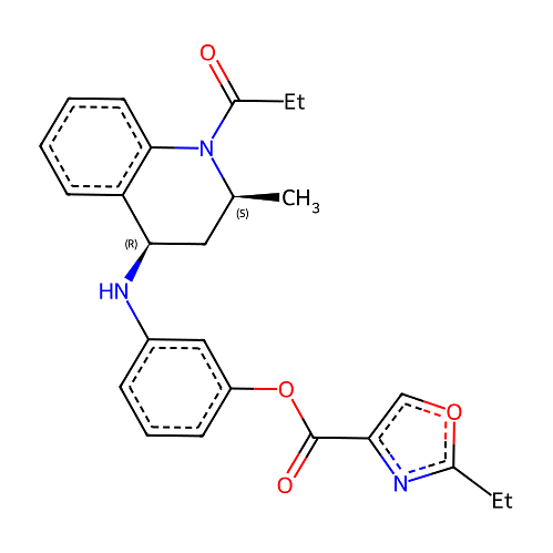 CCC(=O)N1c2ccccc2[C@H](Nc2cccc(OC(=O)c3coc(CC)n3)c2)C[C@@H]1C